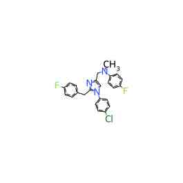 CN(Cc1cn(-c2ccc(Cl)cc2)c(Cc2ccc(F)cc2)n1)c1ccc(F)cc1